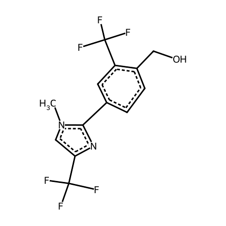 Cn1cc(C(F)(F)F)nc1-c1ccc(CO)c(C(F)(F)F)c1